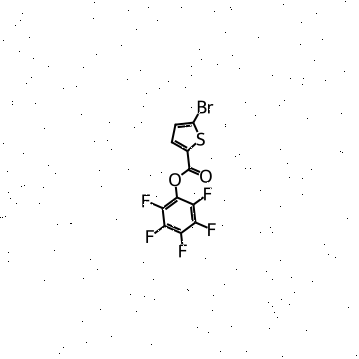 O=C(Oc1c(F)c(F)c(F)c(F)c1F)c1ccc(Br)s1